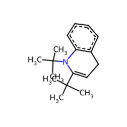 CC(C)(C)C1=CCc2ccccc2N1C(C)(C)C